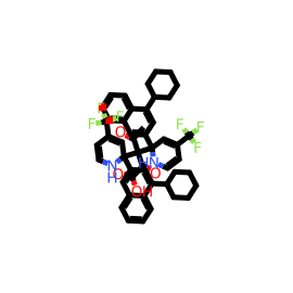 CC(=O)C(C(=O)C(=O)O)(C1(c2cc(C3CCCCC3)c3ccccc3c2)C=C(C(F)(F)F)C=CN1)C1(c2cc(C3CCCCC3)c3ccccc3c2)C=C(C(F)(F)F)C=CN1